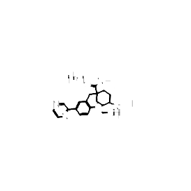 CCOc1ccc(-c2cnccn2)cc1CC1(C(N)=O)CCC(NC)CC1.Cl.Cl